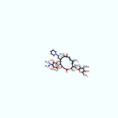 CCC1OC(=O)CC(O)C(C)C(OC2OC(C)C(O)C(N(C)C)C2O)C(CCN2CCCCC2)CC(C)C(=O)/C=C/C(C)=C/C1COC1OC(C)C(O)C(OC)C1OC